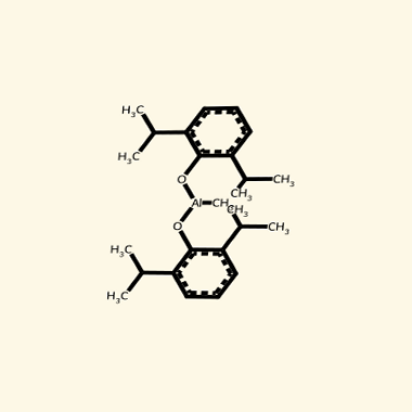 CC(C)c1cccc(C(C)C)c1[O][Al]([CH3])[O]c1c(C(C)C)cccc1C(C)C